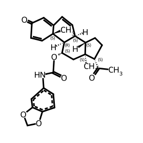 CC(=O)[C@H]1CC[C@H]2[C@@H]3C=CC4=CC(=O)C=C[C@@]4(C)[C@@H]3[C@@H](OC(=O)Nc3ccc4c(c3)OCO4)C[C@]12C